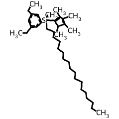 CCCCCCCCCCCCCCCCCC[Si](C)(C1=C(C)C(C)=C(C)C1C)c1cc(CC)cc(CC)c1